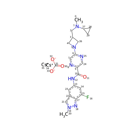 CN(CC1CN(c2cnc(C(=O)Nc3cc(F)c4nn(C)cc4c3)cn2)C1)C1CC1.O=C([O-])[O-].[Cs+].[Cs+]